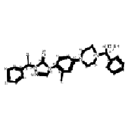 CCOC(=O)[C@@H](c1ccccc1)N1CCN(c2ccc(-n3cnn([C@H](C)c4ccccc4)c3=O)c(C)c2)CC1